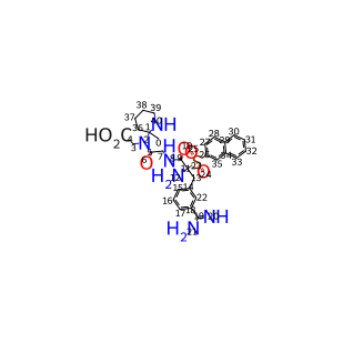 CC1(N(CC(=O)O)C(=O)CNC(=O)[C@@](N)(Cc2cccc(C(=N)N)c2)S(=O)(=O)c2ccc3ccccc3c2)CCCCN1